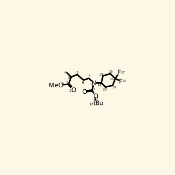 COC(=O)C(C)CCCN(C(=O)OC(C)(C)C)C1CCC(F)(F)CC1